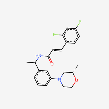 CC(NC(=O)C=Cc1ccc(F)cc1F)c1cccc(N2CCO[C@@H](C)C2)c1